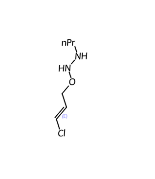 C[CH]CNNOC/C=C/Cl